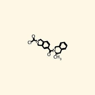 C[C@@H]1Cc2ccccc2CN1C(=O)c1ccc2c(c1)CN(C(=O)Cl)C2